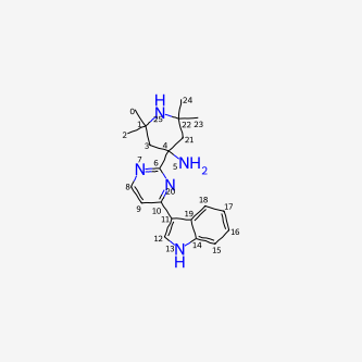 CC1(C)CC(N)(c2nccc(-c3c[nH]c4ccccc34)n2)CC(C)(C)N1